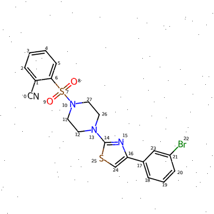 N#Cc1ccccc1S(=O)(=O)N1CCN(c2nc(-c3cccc(Br)c3)cs2)CC1